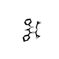 C(OCC1CO1)C1CO1.O=C(Nc1ccccc1)C(O)c1ccccc1